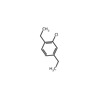 CCc1[c]cc(CC)c(Cl)c1